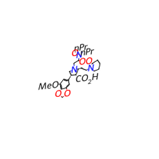 CCCON(CCC)C(=O)CN1C[C@H](c2cc(OC)c3c(c2)OCO3)[C@@H](C(=O)O)[C@@H]1CCN1CCCCC1=O